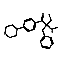 CCC(Cc1ccccc1)(NC)C(=O)c1ccc(N2CCOCC2)cc1